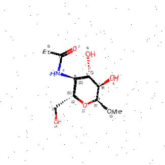 CCC(=O)N[C@H]1[C@H](O)[C@@H](O)[C@@H](OC)O[C@@H]1CO